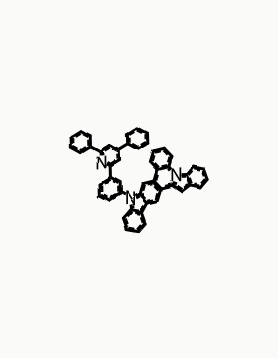 c1ccc(-c2cc(-c3ccccc3)nc(-c3cccc(-n4c5ccccc5c5cc6c(cc54)c4ccccc4n4c5ccccc5cc64)c3)c2)cc1